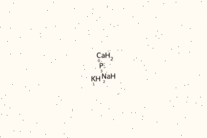 [CaH2].[KH].[NaH].[P]